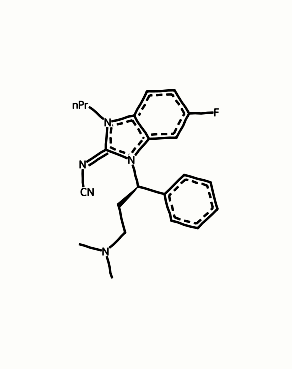 CCCn1/c(=N/C#N)n([C@H](CCN(C)C)c2ccccc2)c2cc(F)ccc21